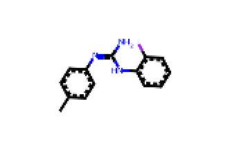 Cc1ccc(N=C(N)Nc2ccccc2I)cc1